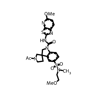 COCCN(C)S(=O)(=O)c1ccc2c(c1)C1(CCN(C(C)=O)C1)CN2C(=O)Nc1nc2ccc(OC)nc2s1